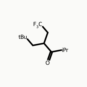 CC(C)C(=O)C(CC(C)(C)C)CC(F)(F)F